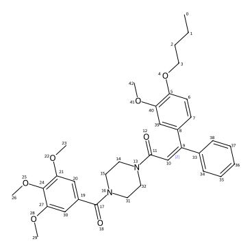 CCCCOc1ccc(/C(=C\C(=O)N2CCN(C(=O)c3cc(OC)c(OC)c(OC)c3)CC2)c2ccccc2)cc1OC